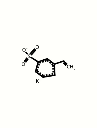 C=Cc1cccc(S(=O)(=O)[O-])c1.[K+]